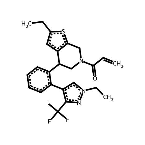 C=CC(=O)N1Cc2sc(CC)cc2C(c2ccccc2-c2cn(CC)nc2C(F)(F)I)C1